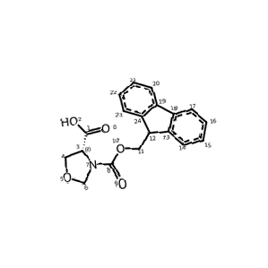 O=C(O)[C@H]1COCN1C(=O)OCC1c2ccccc2-c2ccccc21